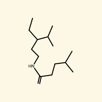 C=C(CCC(C)C)NCCC(CC)C(C)C